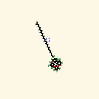 CCCCCCCCCCCC[NH2+]CCCCCCCCCCCC.Fc1c(F)c(F)c([B-](c2c(F)c(F)c(F)c(F)c2F)(c2c(F)c(F)c(F)c(F)c2F)c2c(F)c(F)c(F)c(F)c2F)c(F)c1F